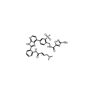 CN(C)C/C=C/C(=O)Nc1ccccc1-c1nc2c(-c3ccc(CNC(=O)c4nc(C(C)(C)C)no4)c(S(C)(=O)=O)c3)ccnc2[nH]1